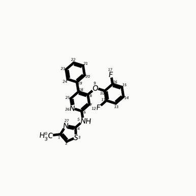 Cc1csc(Nc2cc(Oc3c(F)cccc3F)c(-c3ccccc3)cn2)n1